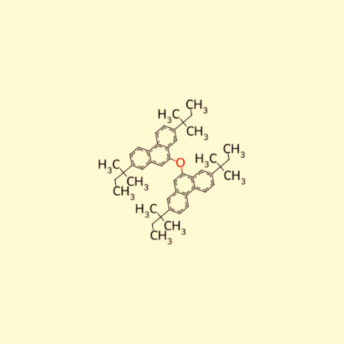 CCC(C)(C)c1ccc2c(c1)cc(Oc1cc3cc(C(C)(C)CC)ccc3c3ccc(C(C)(C)CC)cc13)c1cc(C(C)(C)CC)ccc12